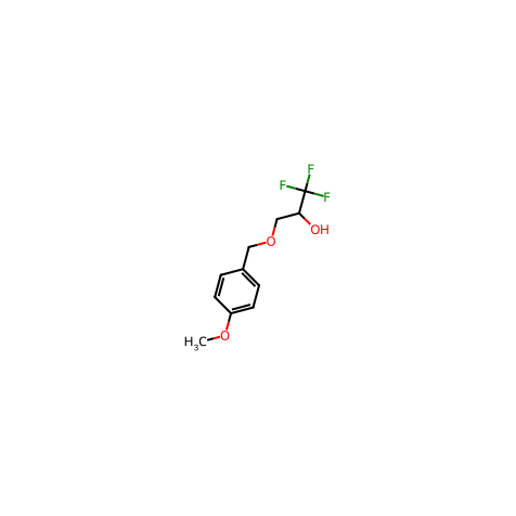 COc1ccc(COCC(O)C(F)(F)F)cc1